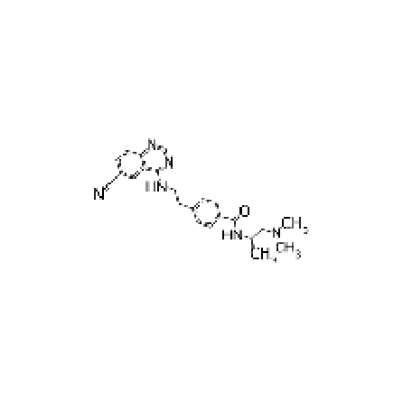 C[C@H](CN(C)C)NC(=O)c1ccc(CCNc2ncnc3ccc(C#N)cc23)cc1